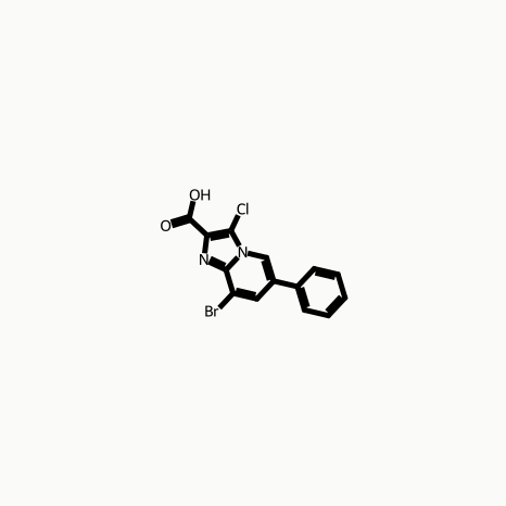 O=C(O)c1nc2c(Br)cc(-c3ccccc3)cn2c1Cl